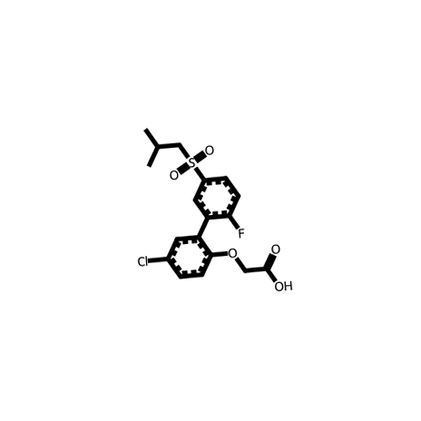 CC(C)CS(=O)(=O)c1ccc(F)c(-c2cc(Cl)ccc2OCC(=O)O)c1